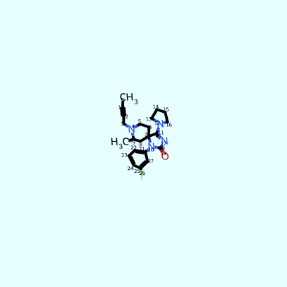 CC#CCN1CCC2(CC1C)C(N1CCCC1)=NC(=O)N2c1cccc(F)c1